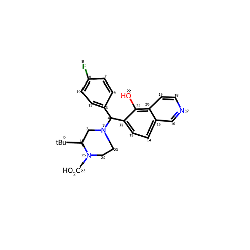 CC(C)(C)C1CN(C(c2ccc(F)cc2)c2ccc3cnccc3c2O)CCN1C(=O)O